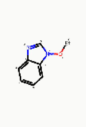 CCOn1[c]nc2ccccc21